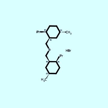 Br.CC(C)[C@H]1CC[C@H](C)C[C@H]1C[B]C[C@@H]1C[C@@H](C)CC[C@@H]1C(C)C